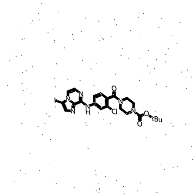 CC(C)(C)OC(=O)N1CCN(C(=O)c2ccc(Nc3nccn4c(I)cnc34)cc2Cl)CC1